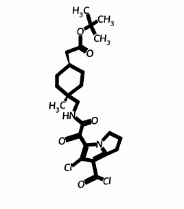 CC(C)(C)OC(=O)C[C@H]1CC[C@](C)(CNC(=O)C(=O)c2c(Cl)c(C(=O)Cl)c3n2CCC3)CC1